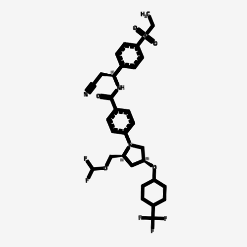 CCS(=O)(=O)c1ccc([C@H](CC#N)NC(=O)c2ccc(N3C[C@@H](OC4CCC(C(F)(F)F)CC4)C[C@H]3COC(F)F)cc2)cc1